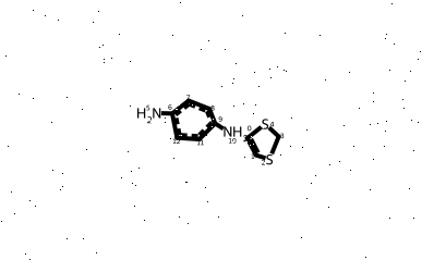 C1=CSCS1.Nc1ccc(N)cc1